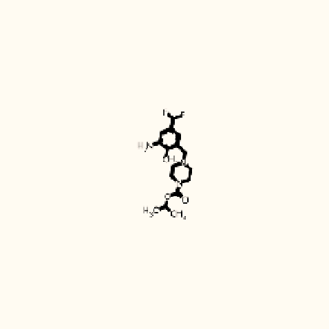 Cc1c(N)cc(C(F)F)cc1CN1CCN(C(=O)OC(C)C)CC1